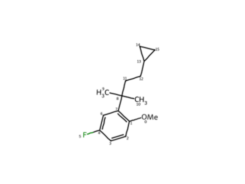 COc1ccc(F)cc1C(C)(C)CCC1CC1